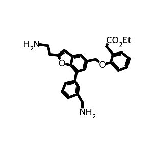 CCOC(=O)Cc1ccccc1OCc1cc(-c2cccc(CN)c2)c2oc(CCN)cc2c1